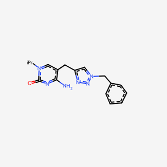 CC(C)n1cc(Cc2cn(Cc3ccccc3)nn2)c(N)nc1=O